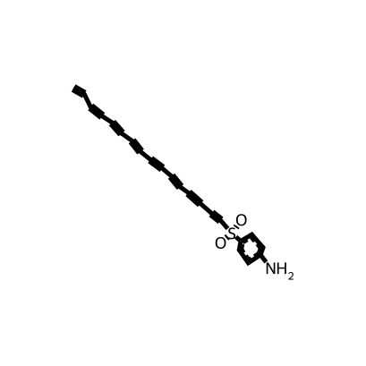 C#CC#CC#CC#CC#CC#CC#CC#CS(=O)(=O)c1ccc(N)cc1